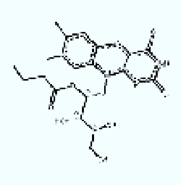 CCCC(=O)O[C@H](Cn1c2nc(=O)[nH]c(=O)c-2nc2cc(C)c(C)cc21)[C@@H](O)[C@@H](O)CO